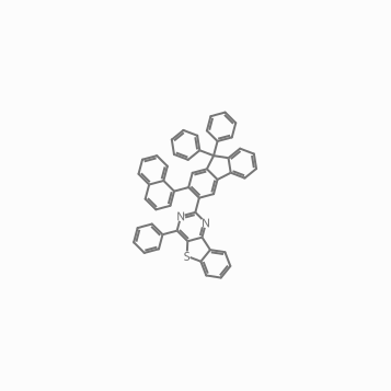 c1ccc(-c2nc(-c3cc4c(cc3-c3cccc5ccccc35)C(c3ccccc3)(c3ccccc3)c3ccccc3-4)nc3c2sc2ccccc23)cc1